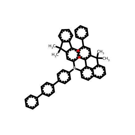 CC1(C)c2ccccc2-c2ccc(N(c3ccc(-c4ccc(-c5ccccc5)cc4)cc3)c3ccc4cccc5c4c3-c3ccc(-c4ccccc4)cc3C5(C)C)cc21